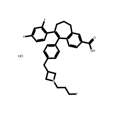 Cl.O=C(O)c1ccc2c(c1)CCCC(c1ccc(F)cc1F)=C2c1ccc(CC2CN(CCCF)C2)cc1